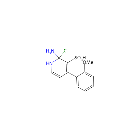 COc1ccccc1C1=C(S(=O)(=O)O)C(N)(Cl)NC=C1